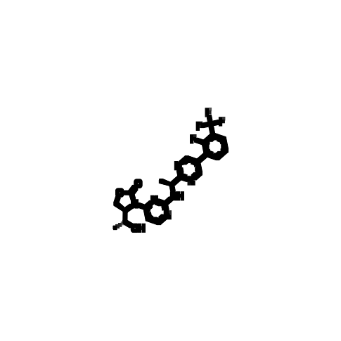 C[C@H](Nc1nccc(N2C(=O)OC[C@@H]2[C@@H](C)O)n1)c1ncc(-c2cccc(C(F)(F)F)c2F)cn1